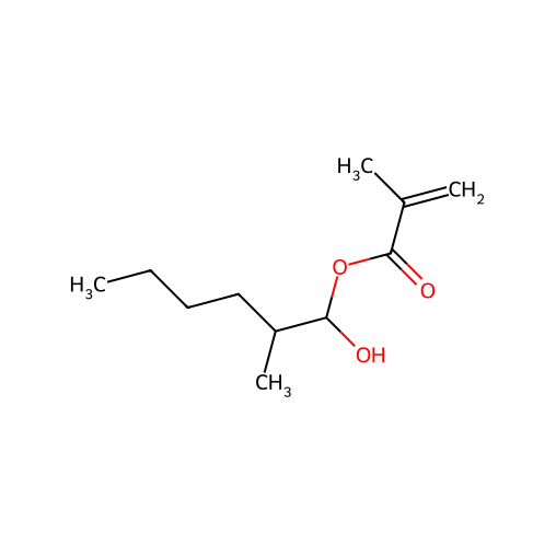 C=C(C)C(=O)OC(O)C(C)CCCC